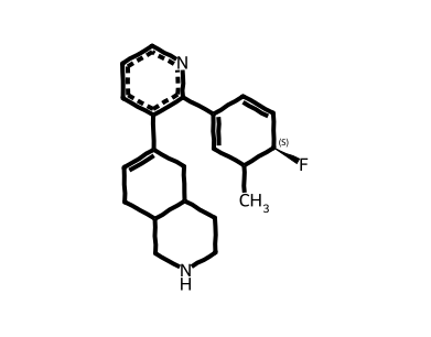 CC1C=C(c2ncccc2C2=CCC3CNCCC3C2)C=C[C@H]1F